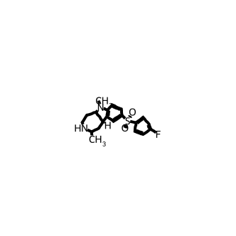 CC1C[C@H]2c3cc(S(=O)(=O)c4ccc(F)cc4)ccc3N(C)C2CCN1